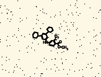 COC(=O)c1ccc(Nc2cc(C3CCCCC3)cc(C3CCCCC3)c2)cc1C